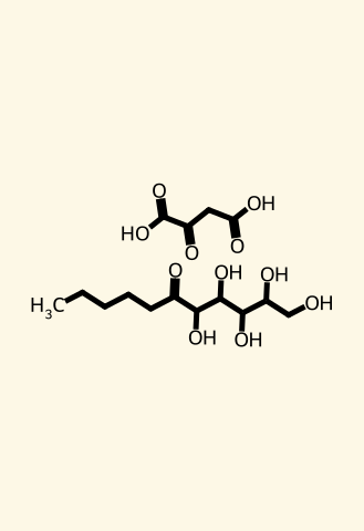 CCCCCC(=O)C(O)C(O)C(O)C(O)CO.O=C(O)CC(=O)C(=O)O